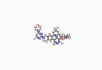 Cc1cc(N2CCOCC2)nc(N2CCc3cc(-c4c(C)nc(C)c(C(OC(C)(C)C)C(=O)O)c4N4CCC(C)(C)CC4)ccc3C2)n1